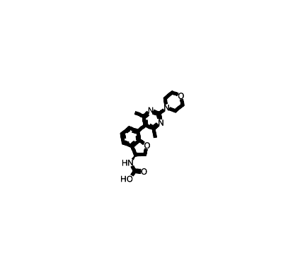 Cc1nc(N2CCOCC2)nc(C)c1-c1cccc2c1OC[C@H]2NC(=O)O